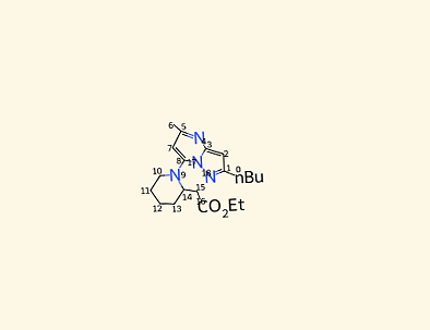 CCCCc1cc2nc(C)cc(N3CCCCC3CC(=O)OCC)n2n1